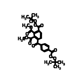 COC(=O)c1c(C(=O)OOC(C)(C)C)ccc(C(=O)c2ccc(C(=O)OOC(C)(C)C)cc2)c1C(=O)OC